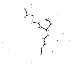 CCCOCC(CO)OCCCOC